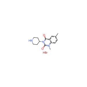 Br.Cc1ccc2c(c1)c(=O)n(C1CCNCC1)c(=O)n2C